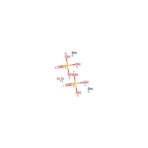 O.O=P(O)(O)O.O=P(O)(O)O.[Sm].[Sm]